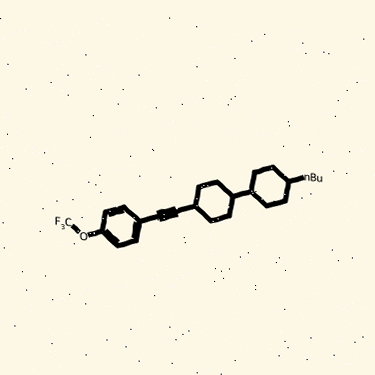 CCCCC1CCC(C2CCC(C#Cc3ccc(OC(F)(F)F)cc3)CC2)CC1